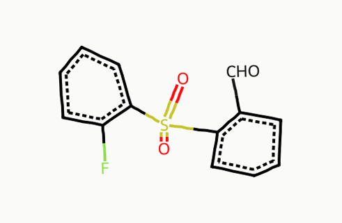 O=Cc1ccccc1S(=O)(=O)c1ccccc1F